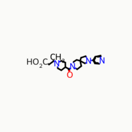 CC(CC(=O)O)N1CCC(C(=O)N2CCC3(CC2)CCN(c2ccncc2)C3)CC1